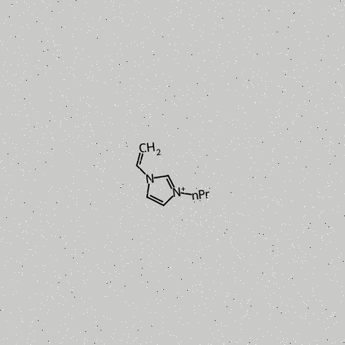 C=Cn1cc[n+](CCC)c1